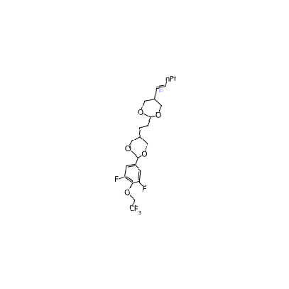 CCC/C=C/C1COC(CCC2COC(c3cc(F)c(OCC(F)(F)F)c(F)c3)OC2)OC1